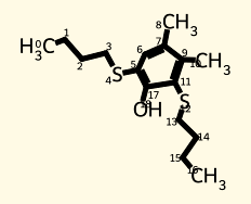 CCCCSc1cc(C)c(C)c(SCCCC)c1O